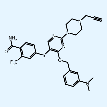 C#CCN1CCN(c2ncc(Sc3ccc(C(N)=O)c(C(F)(F)F)c3)c(OCc3cccc(N(C)C)c3)n2)CC1